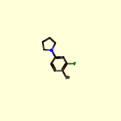 CC(C)c1ccc(N2CCCC2)cc1F